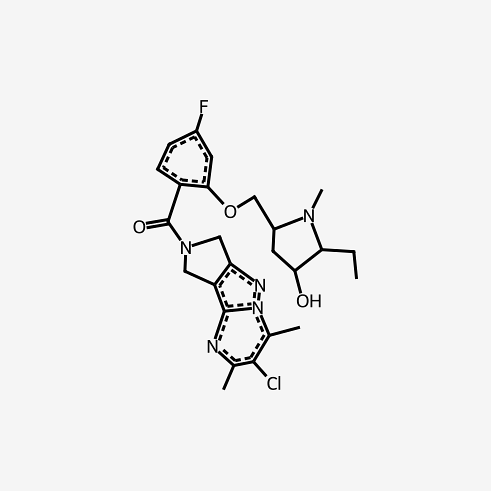 CCC1C(O)CC(COc2cc(F)ccc2C(=O)N2Cc3nn4c(C)c(Cl)c(C)nc4c3C2)N1C